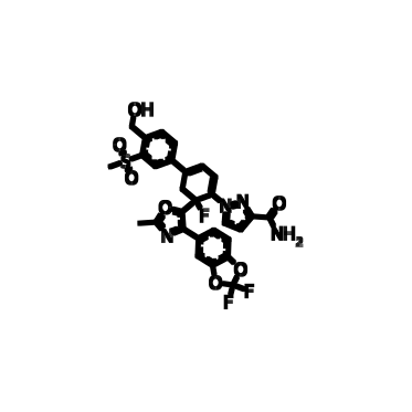 Cc1nc(-c2ccc3c(c2)OC(F)(F)O3)c(C2(F)CC(c3ccc(CO)c(S(C)(=O)=O)c3)=CC=C2n2ccc(C(N)=O)n2)o1